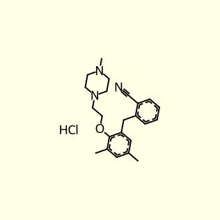 Cc1cc(C)c(OCCN2CCN(C)CC2)c(Cc2ccccc2C#N)c1.Cl